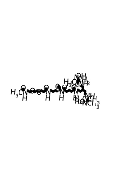 CC(=O)NCCOCCOCCC(=O)NCCCC[C@@H](C=O)NC(=O)CCCC(=O)NCCC(CCNC(C)(C)/C(C)=N\O)CCNC(C)(C)/C(C)=N\O